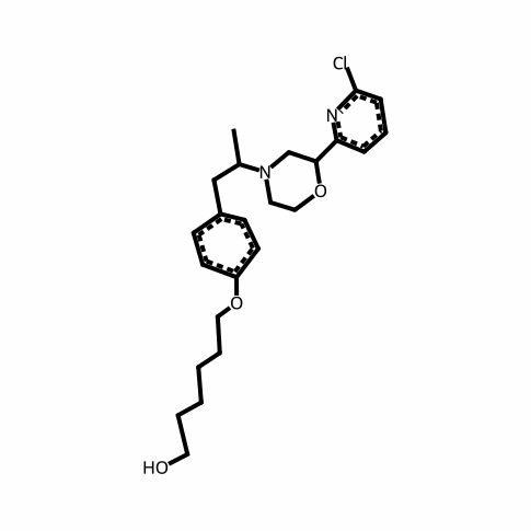 CC(Cc1ccc(OCCCCCCO)cc1)N1CCOC(c2cccc(Cl)n2)C1